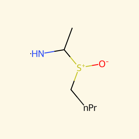 CCCC[S+]([O-])C(C)[NH]